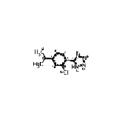 CC(C)c1ccc(-c2nnn[nH]2)c(Cl)c1